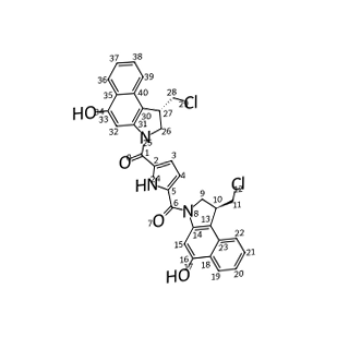 O=C(c1ccc(C(=O)N2C[C@@H](CCl)c3c2cc(O)c2ccccc32)[nH]1)N1C[C@@H](CCl)c2c1cc(O)c1ccccc21